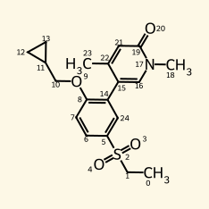 CCS(=O)(=O)c1ccc(OCC2CC2)c(-c2cn(C)c(=O)cc2C)c1